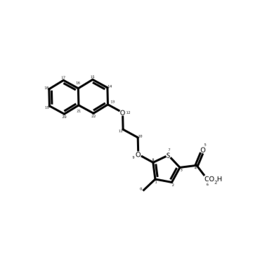 Cc1cc(C(=O)C(=O)O)sc1OCCOc1ccc2ccccc2c1